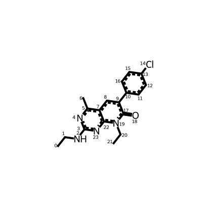 CCNc1nc(C)c2cc(-c3ccc(Cl)cc3)c(=O)n(CC)c2n1